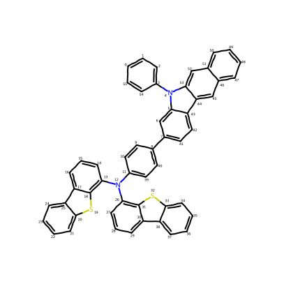 c1ccc(-n2c3cc(-c4ccc(N(c5cccc6c5sc5ccccc56)c5cccc6c5sc5ccccc56)cc4)ccc3c3cc4ccccc4cc32)cc1